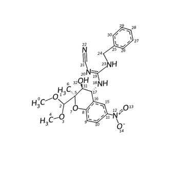 COC(OC)[C@]1(C)Oc2ccc([N+](=O)[O-])cc2[C@@H](NC(=NC#N)NCc2ccccc2)[C@@H]1O